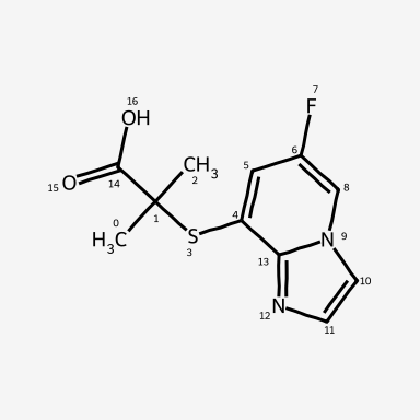 CC(C)(Sc1cc(F)cn2ccnc12)C(=O)O